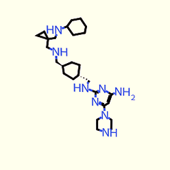 Nc1cc(N2CCNCC2)nc(NC[C@H]2CC[C@H](CNCC3(CNC4CCCCC4)CC3)CC2)n1